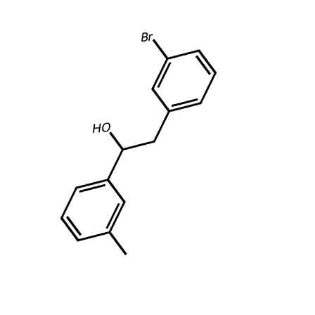 Cc1cccc(C(O)Cc2cccc(Br)c2)c1